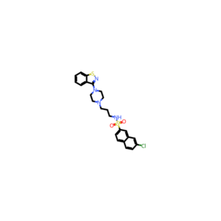 O=S(=O)(NCCCN1CCN(c2nsc3ccccc23)CC1)c1ccc2ccc(Cl)cc2c1